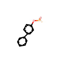 O=[PH2]Oc1ccc(-c2ccccc2)cc1